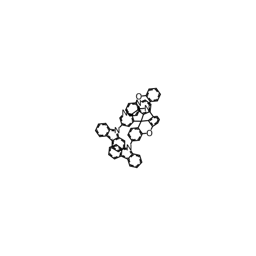 c1ccc2c(c1)Oc1ccccc1N2c1cccc2c1C1(c3ccc(-n4c5ccccc5c5ccccc54)cc3O2)c2cccnc2-c2ncc(-n3c4ccccc4c4ccccc43)cc21